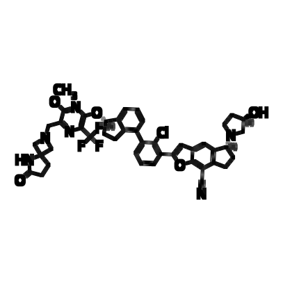 COc1nc(O[C@H]2CCc3c(-c4cccc(-c5cc6cc7c(c(C#N)c6o5)CC[C@H]7N5CC[C@@H](O)C5)c4Cl)cccc32)c(C(F)(F)F)nc1CN1CC2(CCC(=O)N2)C1